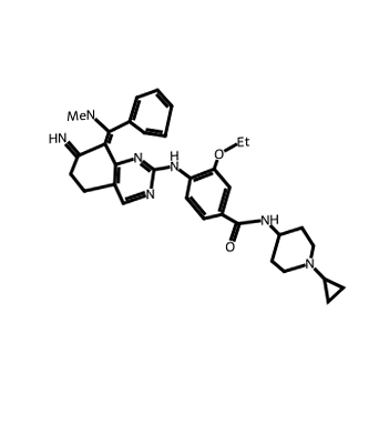 CCOc1cc(C(=O)NC2CCN(C3CC3)CC2)ccc1Nc1ncc2c(n1)/C(=C(/NC)c1ccccc1)C(=N)CC2